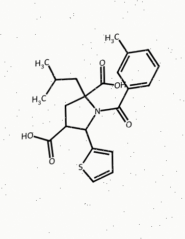 Cc1cccc(C(=O)N2C(c3cccs3)C(C(=O)O)CC2(CC(C)C)C(=O)O)c1